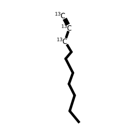 CCCCCCC[13CH2][13CH]=[13CH2]